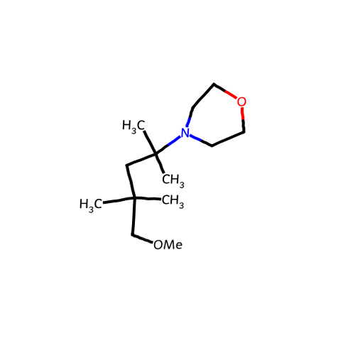 COCC(C)(C)CC(C)(C)N1CCOCC1